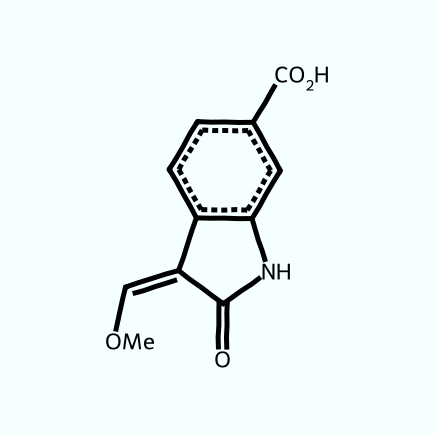 COC=C1C(=O)Nc2cc(C(=O)O)ccc21